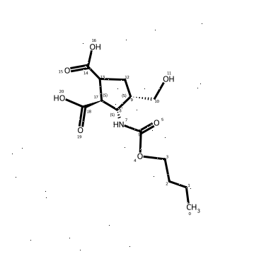 CCCCOC(=O)N[C@H]1[C@@H](CO)CC(C(=O)O)[C@@H]1C(=O)O